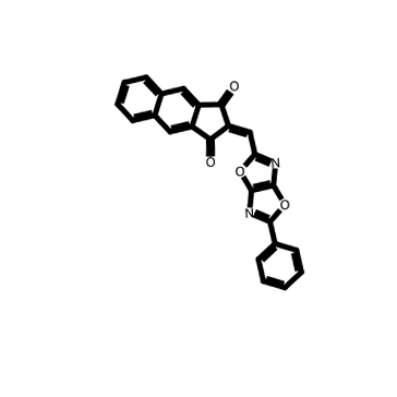 O=C1C(=Cc2nc3oc(-c4ccccc4)nc3o2)C(=O)c2cc3ccccc3cc21